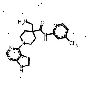 NCC1(C(=O)Nc2cc(C(F)(F)F)ccn2)CCN(c2ncnc3c2CCN3)CC1